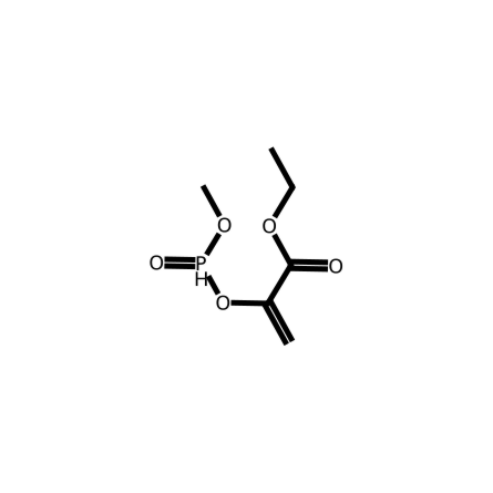 C=C(O[PH](=O)OC)C(=O)OCC